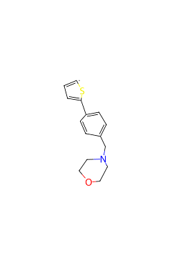 [c]1ccc(-c2ccc(CN3CCOCC3)cc2)s1